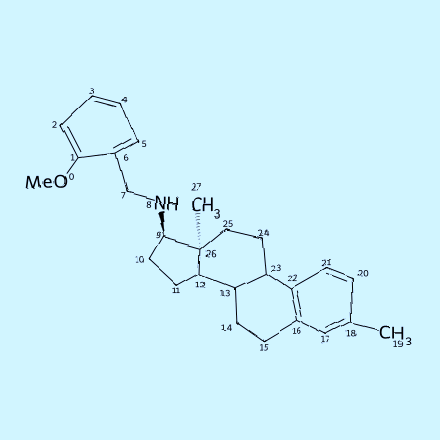 COc1ccccc1CN[C@@H]1CCC2C3CCc4cc(C)ccc4C3CC[C@@]21C